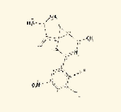 CC1N=C(c2cc([N+](=O)[O-])cc(F)c2F)SC2(C(=O)N(C)C)CC12